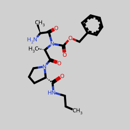 CCCNC(=O)[C@@H]1CCCN1C(=O)[C@H](C)N(C(=O)OCc1ccccc1)C(=O)[C@H](C)N